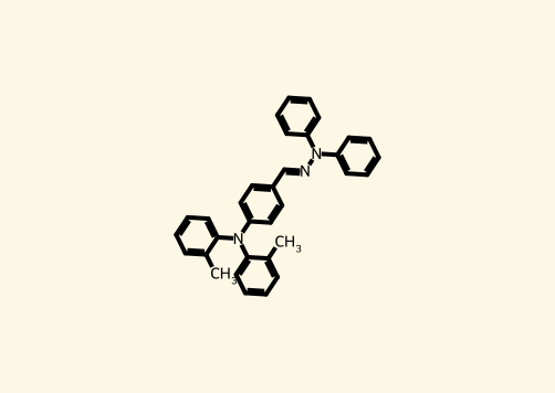 Cc1ccccc1N(c1ccc(C=NN(c2ccccc2)c2ccccc2)cc1)c1ccccc1C